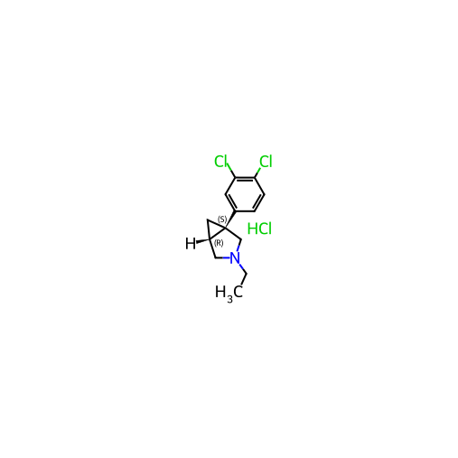 CCN1C[C@@H]2C[C@]2(c2ccc(Cl)c(Cl)c2)C1.Cl